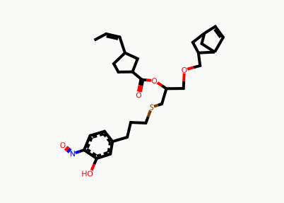 C/C=C\C1CCC(C(=O)OC(COCC2CC3C=CC2C3)CSCCCc2ccc(N=O)c(O)c2)C1